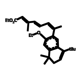 CCOC(=O)/C=C(C)/C=C/C=C(/C)c1cc2c(cc1OCC)C(C)(C)CC=C2C(C)(C)C